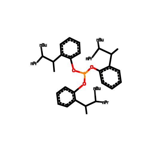 CCCCC(CCC)C(C)c1ccccc1OP(Oc1ccccc1C(C)C(CCC)CCCC)Oc1ccccc1C(C)C(CCC)CCCC